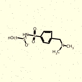 CCCCCCCC[S+]([O-])NS(=O)(=O)c1ccc(CN(C)C)cc1